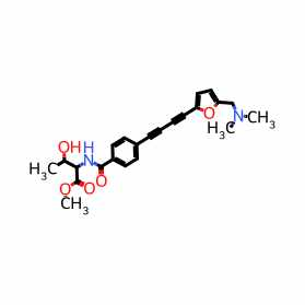 COC(=O)C(NC(=O)c1ccc(C#CC#Cc2ccc(CN(C)C)o2)cc1)C(C)O